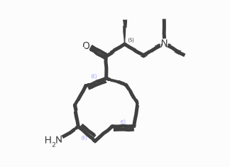 C[C@@H](CN(C)C)C(=O)/C1=C/C/C(N)=C\C=C\CC1